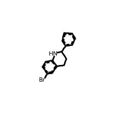 Brc1ccc2c(c1)CCC(c1ccccc1)N2